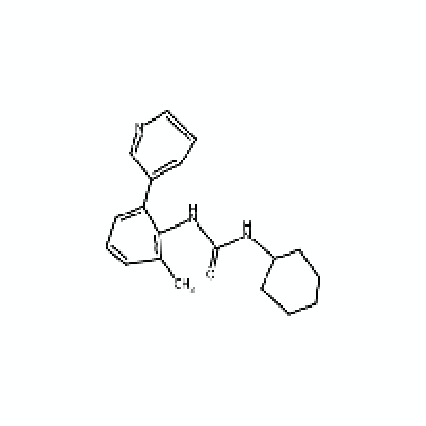 Cc1cccc(-c2cccnc2)c1NC(=O)NC1CCCCC1